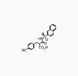 N#Cc1ccc(CC(C(=O)O)C(=O)NS(=O)(=O)c2ccc3ccccc3c2)cc1